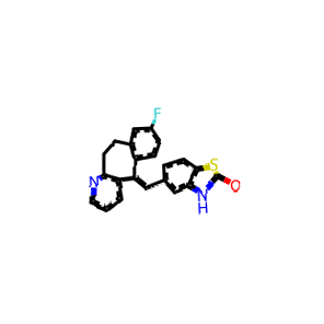 O=c1[nH]c2cc(/C=C3\c4ccc(F)cc4CCc4ncccc43)ccc2s1